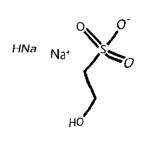 O=S(=O)([O-])CCO.[Na+].[NaH]